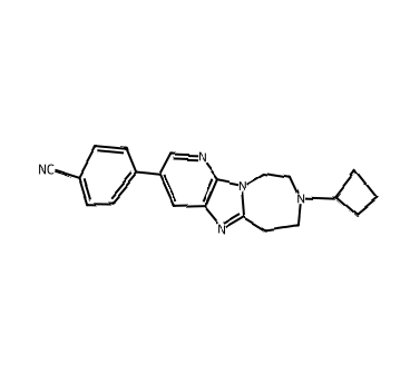 N#Cc1ccc(-c2cnc3c(c2)nc2n3CCN(C3CCC3)CC2)cc1